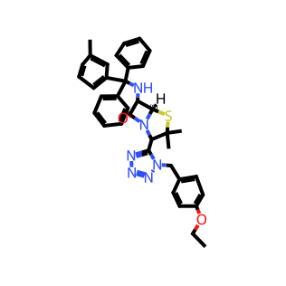 CCOc1ccc(Cn2nnnc2C2N3C(=O)C(NC(c4ccccc4)(c4ccccc4)c4cccc(C)c4)[C@@H]3SC2(C)C)cc1